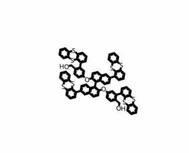 OCc1ccc(Oc2ccc3cc(-c4cccc5c4Sc4ccccc4S5)ccc3c2-c2c(Oc3ccc(CO)c(-c4cccc5c4Sc4ccccc4S5)c3)ccc3cc(-c4cccc5c4Sc4ccccc4S5)ccc23)cc1-c1cccc2c1Sc1ccccc1S2